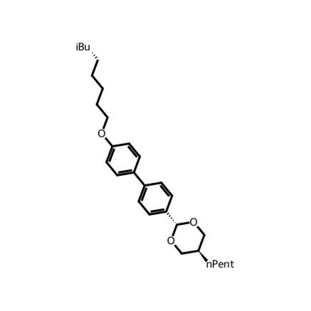 CCCCC[C@H]1CO[C@H](c2ccc(-c3ccc(OCCCCC[C@@H](C)CC)cc3)cc2)OC1